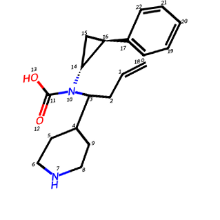 C=CCC(C1CCNCC1)N(C(=O)O)[C@@H]1C[C@H]1c1ccccc1